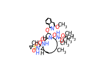 CC[C@@H]1C[C@H](C)CC/C=C\[C@@H]2C[C@@]2(C(=O)NS(=O)(=O)C2(C)CC2)NC(=O)[C@@H]2C[C@@H](Oc3nc(OC)cc4ccccc34)CN2C(=O)[C@H]1NC(=O)OC(C)(C)C